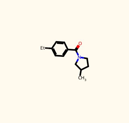 CCc1ccc(C(=O)N2CCC(C)C2)cc1